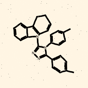 Cc1ccc(-c2nnc(-n3c4c(c5ccccc53)CCC=C4)n2-c2ccc(C)cc2)cc1